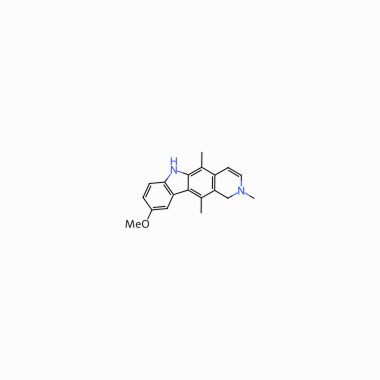 COc1ccc2[nH]c3c(C)c4c(c(C)c3c2c1)CN(C)C=C4